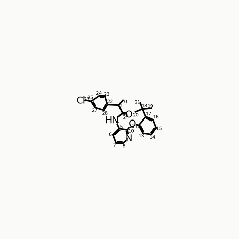 CC(C(=O)Nc1cccnc1Oc1ccccc1C(C)(C)C)c1ccc(Cl)cc1